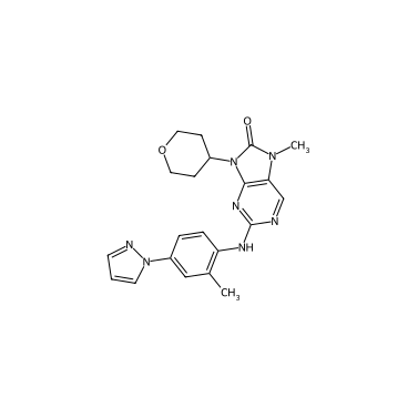 Cc1cc(-n2cccn2)ccc1Nc1ncc2c(n1)n(C1CCOCC1)c(=O)n2C